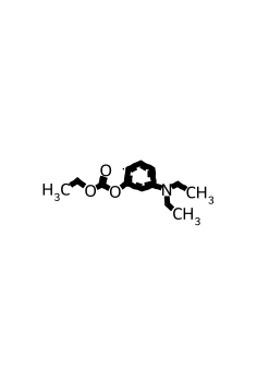 CCOC(=O)Oc1[c]ccc(N(CC)CC)c1